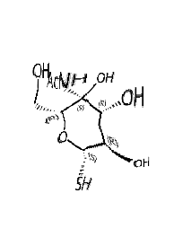 CC(=O)N[C@]1(O)[C@H](O)[C@@H](O)[C@H](S)O[C@@H]1CO